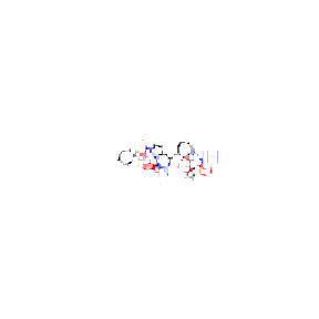 Cc1ccc(S(=O)(=O)n2ccc3c(-c4cccc5c4OC4(CC4)C(=O)N5)cn(C)c(=O)c32)cc1